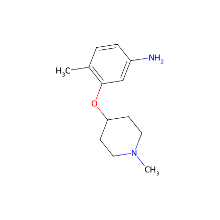 Cc1ccc(N)cc1OC1CCN(C)CC1